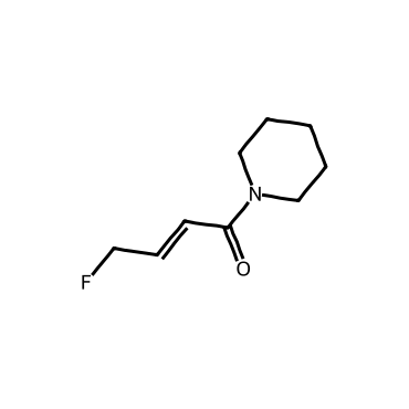 O=C(/C=C/CF)N1CCCCC1